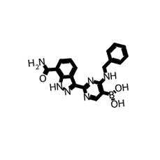 NC(=O)c1cccc2c(-c3ncc(B(O)O)c(NCc4ccccc4)n3)n[nH]c12